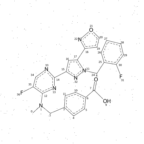 CN(Cc1ccc(C(=O)O)cc1)c1nc(-c2cc(-c3ccon3)n(Cc3ccccc3F)n2)ncc1F